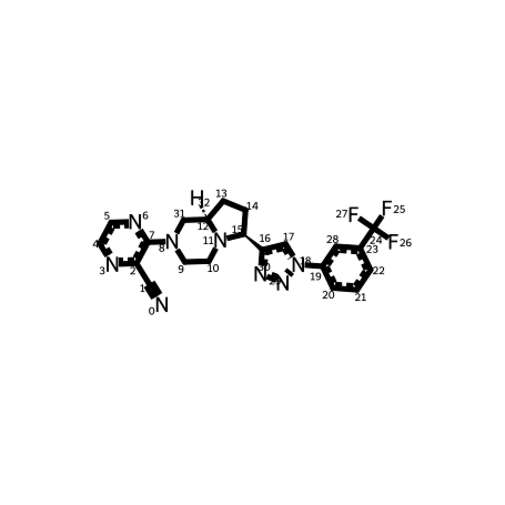 N#Cc1nccnc1N1CCN2[C@H](CC[C@H]2c2cn(-c3cccc(C(F)(F)F)c3)nn2)C1